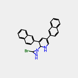 BrC1NN1C1NC=C(c2ccc3ccccc3c2)C=C1c1ccc2ccccc2c1